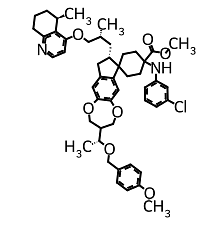 COC(=O)C1(Nc2cccc(Cl)c2)CCC2(CC1)c1cc3c(cc1C[C@@H]2C[C@@H](C)COc1ccnc2c1[C@H](C)CCC2)OCC([C@@H](C)OCc1ccc(OC)cc1)CO3